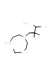 CCC(O)(CN1CCNCCNCC1)C(C)OC